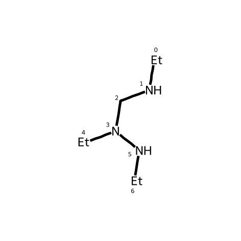 CCNCN(CC)NCC